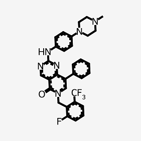 CN1CCN(c2ccc(Nc3ncc4c(=O)n(Cc5c(F)cccc5C(F)(F)F)cc(-c5ccccc5)c4n3)cc2)CC1